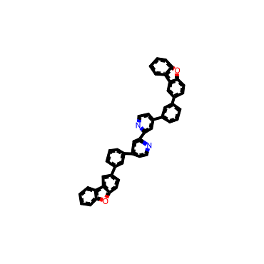 c1cc(-c2ccnc(-c3cc(-c4cccc(-c5ccc6oc7ccccc7c6c5)c4)ccn3)c2)cc(-c2ccc3oc4ccccc4c3c2)c1